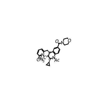 CC(=O)N1c2ccc(C(=O)N3CCOCC3)cc2[C@H](Cc2cccc(C)n2)[C@@H](C)[C@@H]1C1CC1